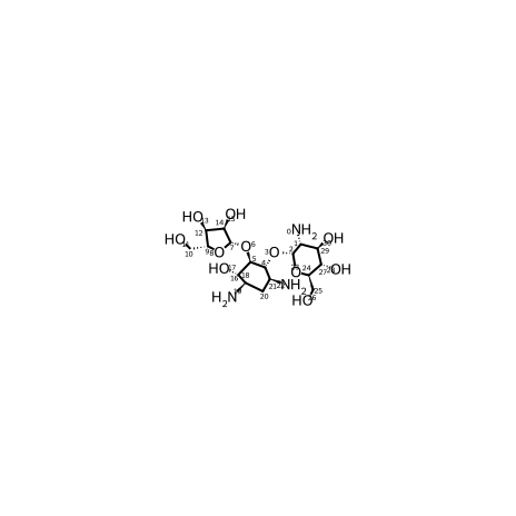 N[C@H]1[C@@H](O[C@H]2[C@H](O[C@@H]3O[C@H](CO)[C@@H](O)[C@H]3O)[C@@H](O)[C@H](N)C[C@@H]2N)O[C@H](CO)[C@@H](O)[C@@H]1O